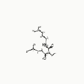 CCN(C(=O)CCC(C)C)C(=O)NCCCN(C)C